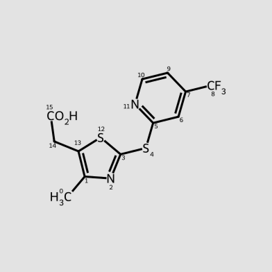 Cc1nc(Sc2cc(C(F)(F)F)ccn2)sc1CC(=O)O